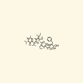 CC[C@H](C)[C@@H]([C@@H](CC(=O)N1CCC[C@H]1[C@H](OC)[C@@H](C)C(=O)N[C@@H](Cc1ccccc1)C(O)O)OC)N(C)C(=O)[C@@H](NC(=O)[C@H](C(C)C)N(C)C(C)C)C(C)C